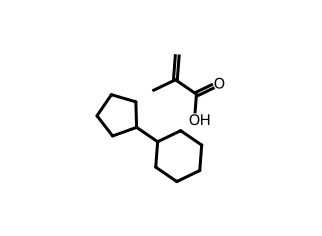 C1CCC(C2CCCC2)CC1.C=C(C)C(=O)O